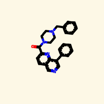 O=C(c1ccc2cncc(-c3ccccc3)c2n1)N1CCN(Cc2ccccc2)CC1